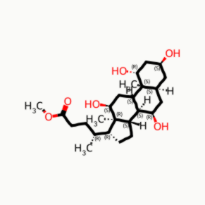 COC(=O)CC[C@@H](C)[C@H]1CC[C@H]2[C@@H]3[C@H](O)C[C@@H]4C[C@H](O)C[C@@H](O)[C@]4(C)[C@H]3C[C@H](O)[C@]12C